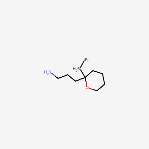 CC(C)[SiH2]C1(CCCN)CCCCO1